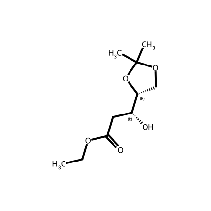 CCOC(=O)C[C@@H](O)[C@H]1COC(C)(C)O1